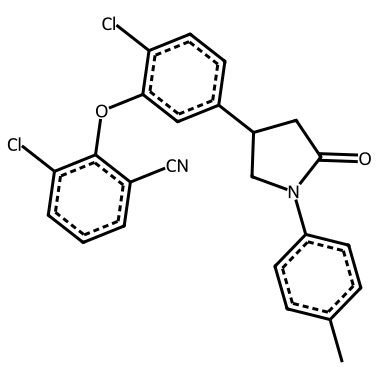 Cc1ccc(N2CC(c3ccc(Cl)c(Oc4c(Cl)cccc4C#N)c3)CC2=O)cc1